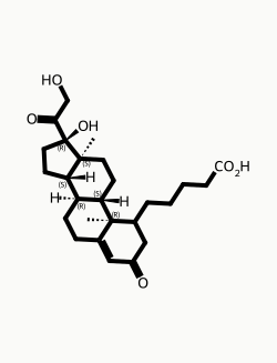 C[C@]12CC[C@H]3[C@@H](CCC4=CC(=O)CC(CCCCC(=O)O)[C@@]43C)[C@@H]1CC[C@]2(O)C(=O)CO